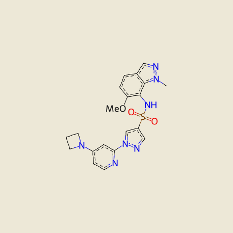 COc1ccc2cnn(C)c2c1NS(=O)(=O)c1cnn(-c2cc(N3CCC3)ccn2)c1